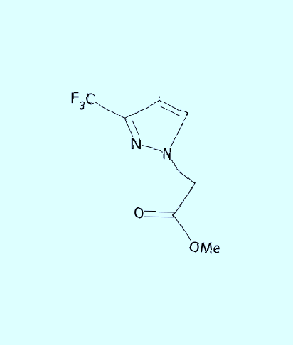 COC(=O)Cn1c[c]c(C(F)(F)F)n1